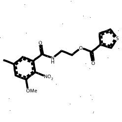 COc1cc(C)cc(C(=O)NCCOC(=O)c2ccsc2)c1[N+](=O)[O-]